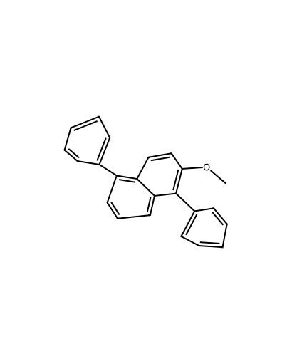 COc1ccc2c(-c3ccccc3)cccc2c1-c1ccccc1